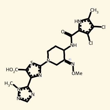 CO/N=C1\CN(c2nc(-c3ncnn3C)c(C(=O)O)s2)CCC1NC(=O)c1[nH]c(C)c(Cl)c1Cl